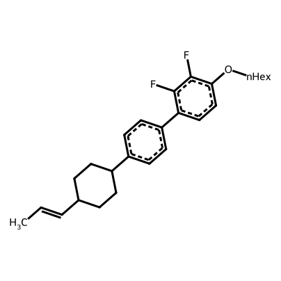 C/C=C/C1CCC(c2ccc(-c3ccc(OCCCCCC)c(F)c3F)cc2)CC1